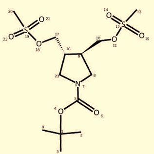 CC(C)(C)OC(=O)N1C[C@H](COS(C)(=O)=O)[C@@H](COS(C)(=O)=O)C1